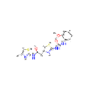 COc1ccccc1NC(=O)Nc1nc(CC(=O)Nc2nc(C)cs2)cs1